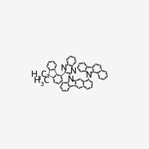 CC1(C)c2ccccc2-c2c(-c3nc4ccccc4nc3-n3c4ccccc4c4cc5cccc(-n6c7ccccc7c7ccc8ccccc8c76)c5cc43)cccc21